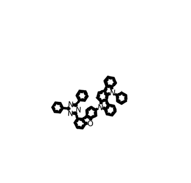 c1ccc(-c2nc(-c3ccccc3)nc(-c3cccc4oc5cc(-n6c7ccccc7c7c6ccc6c8ccccc8n(-c8ccccc8)c67)ccc5c34)n2)cc1